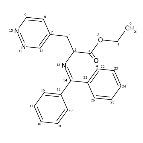 CCOC(=O)C(Cc1ccnnc1)N=C(c1ccccc1)c1ccccc1